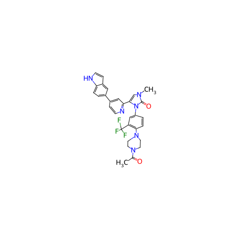 CC(=O)N1CCN(c2ccc(-n3c(-c4cc(-c5ccc6[nH]ccc6c5)ccn4)cn(C)c3=O)cc2C(F)(F)F)CC1